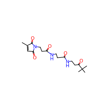 CC1=CC(=O)N(CCC(=O)NCCC(=O)NCCC(=O)C(C)(C)C)C1=O